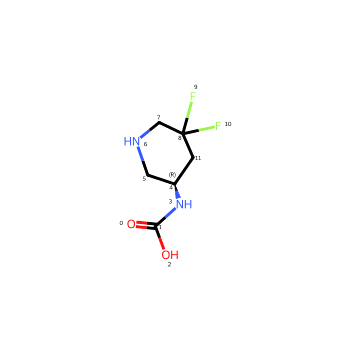 O=C(O)N[C@H]1CNCC(F)(F)C1